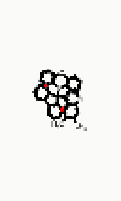 Cc1cc2nccc(C3(N4c5ccccc5Oc5ccccc54)c4ccccc4-c4ccccc43)c2cc1C